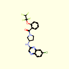 O=C(c1ccccc1OC(F)(F)C(F)F)N1CC[C@@H](Nc2cnc3ccc(Cl)cc3n2)C1